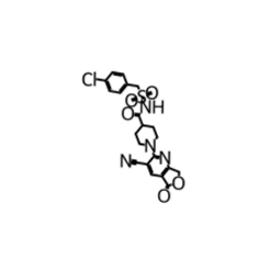 N#Cc1cc2c(nc1N1CCC(C(=O)NS(=O)(=O)Cc3ccc(Cl)cc3)CC1)COC2=O